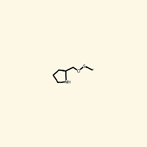 ISOCC1CCCN1